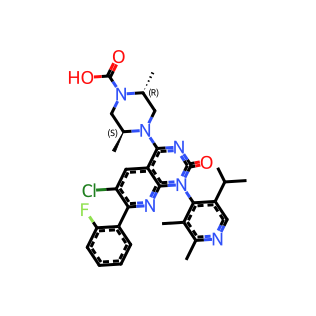 Cc1ncc(C(C)C)c(-n2c(=O)nc(N3C[C@@H](C)N(C(=O)O)C[C@@H]3C)c3cc(Cl)c(-c4ccccc4F)nc32)c1C